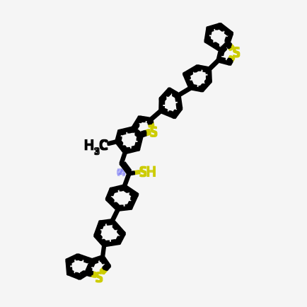 Cc1cc2cc(-c3ccc(-c4ccc(-c5csc6ccccc56)cc4)cc3)sc2cc1/C=C(\S)c1ccc(-c2ccc(-c3csc4ccccc34)cc2)cc1